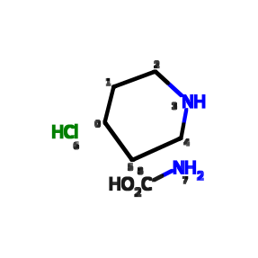 C1CCNCC1.Cl.NC(=O)O